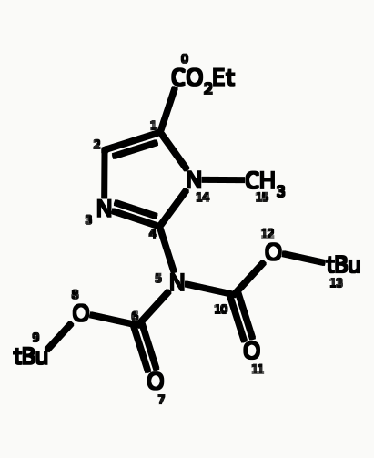 CCOC(=O)c1cnc(N(C(=O)OC(C)(C)C)C(=O)OC(C)(C)C)n1C